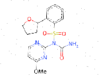 COc1ccnc(N(C(N)=O)S(=O)(=O)c2ccccc2C2CCCO2)n1